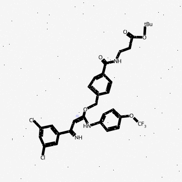 CC(C)(C)OC(=O)CCNC(=O)c1ccc(CO/C(=C/C(=N)c2cc(Cl)cc(Cl)c2)Nc2ccc(OC(F)(F)F)cc2)cc1